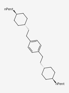 CCCCC[C@H]1CC[C@H](CCc2ccc(CC[C@H]3CC[C@H](CCCCC)CC3)cc2)CC1